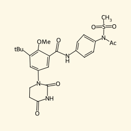 COc1c(C(=O)Nc2ccc(N(C(C)=O)S(C)(=O)=O)cc2)cc(N2CCC(=O)NC2=O)cc1C(C)(C)C